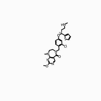 CNCC[C@H](Oc1ccc(CN2CCN(C)c3nc(OC)ncc3C2=O)c(Cl)c1)c1cccs1